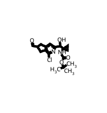 CC(C)(C)OC(=O)NC1(C(O)c2cc3c(c(Cl)n2)CC(C=O)C3)CC1